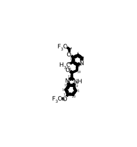 Cc1c(OCC(F)(F)F)ccnc1CC(=O)c1nc2cc(OC(F)(F)F)ccc2[nH]1